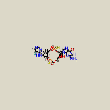 Nc1nc2c(ncn2[C@@H]2OC3COP(=O)(S)O[C@H]4C[C@H](Nc5ncncc5F)C[C@@H]4COP(=O)(S)O[C@@H]2[C@@H]3O)c(=O)[nH]1